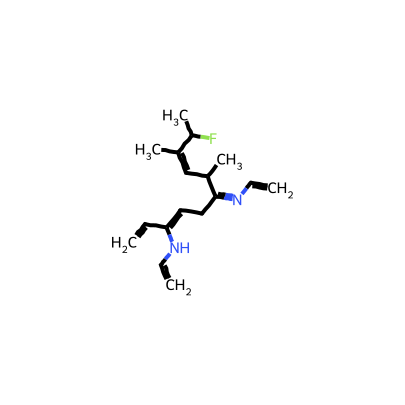 C=C/N=C(/CC=C(C=C)NC=C)C(C)C=C(C)C(C)F